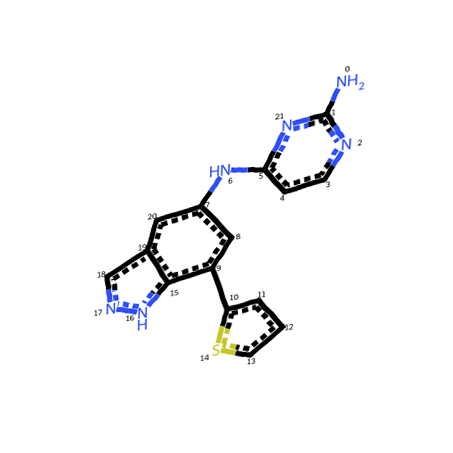 Nc1nccc(Nc2cc(-c3cccs3)c3[nH]ncc3c2)n1